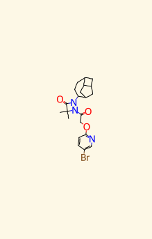 CC1(C)C(=O)N(C2CCC3CC4CC2CC34)N1C(=O)COc1ccc(Br)cn1